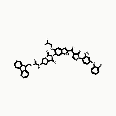 Cc1cc(Oc2ccccc2F)ccc1-n1ncc(C(=O)c2cc3cc(OCC(F)F)c(N4C(=O)C5CC(NC(=O)OCC6c7ccccc7-c7ccccc76)CN5C4=O)cc3[nH]2)c1N